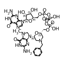 CN1CN([C@H]2CN(Cc3ccccc3)C[C@@H](COP(=O)(O)OP(=O)(O)OP(=O)(O)OC[C@H]3O[C@@H](n4cnc5c(=O)[nH]c(N)nc54)[C@H](O)[C@@H]3O)O2)c2nc(N)[nH]c(=O)c21